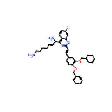 NCCCCCCC(N)c1nc(C=Cc2ccc(OCc3ccccc3)c(OCc3ccccc3)c2)nc2cc(Cl)ccc12